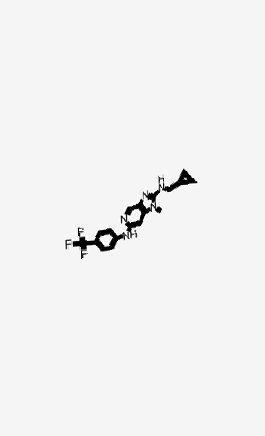 Cn1c(NCC2CC2)nc2cnc(Nc3ccc(C(F)(F)F)cc3)cc21